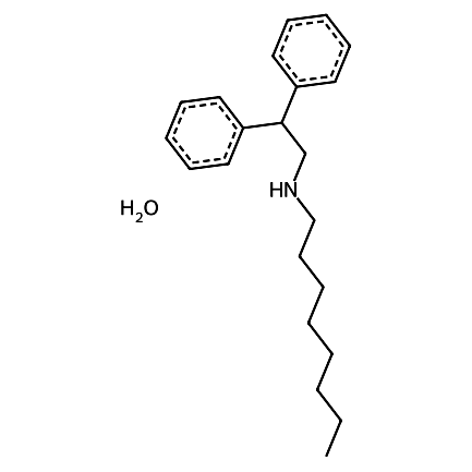 CCCCCCCCNCC(c1ccccc1)c1ccccc1.O